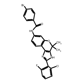 CC1(C)Oc2cc(NC(=O)c3ccc(Br)cc3)ccc2-c2nc(-c3c(F)cccc3Cl)[nH]c21